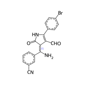 N#Cc1cccc(/C(N)=C2\C(=O)NC(c3ccc(Br)cc3)=C2C=O)c1